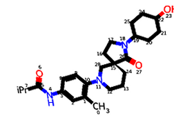 Cc1cc(NC(=O)C(C)C)ccc1N1CCC[C@]2(CCN(C3CCC(O)CC3)C2=O)C1